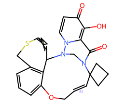 O=C1c2c(O)c(=O)ccn2N2CN1C1(/C=C/COc3cccc4c3C2c2ccccc2SC4)CCC1